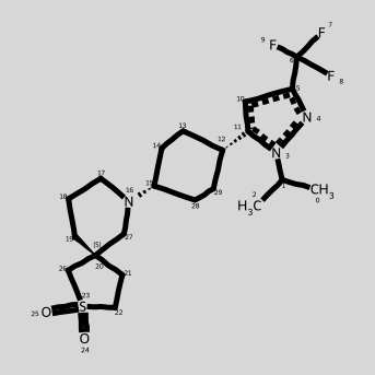 CC(C)n1nc(C(F)(F)F)cc1[C@H]1CC[C@@H](N2CCC[C@]3(CCS(=O)(=O)C3)C2)CC1